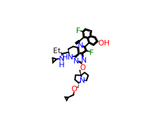 C#Cc1c(F)ccc2cc(O)cc(-c3nc4c5c(nc(OC[C@@]67CCCN6[C@H](COCC6CC6)CC7)nc5c3F)N[C@@H]([C@H](CC)NC3CC3)CC4)c12